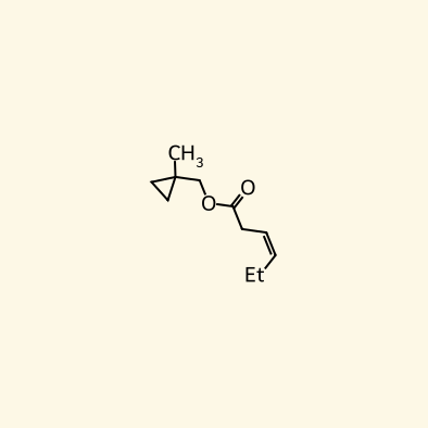 CC/C=C\CC(=O)OCC1(C)CC1